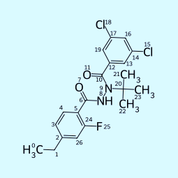 CCc1ccc(C(=O)NN(C(=O)c2cc(Cl)cc(Cl)c2)C(C)(C)C)c(F)c1